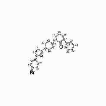 Brc1ccc(-c2ccc(-c3ccc(-c4cccc5c4oc4ccccc45)cc3)s2)cc1